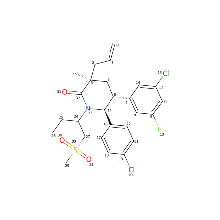 C=CC[C@@]1(C)C[C@H](c2cc(F)cc(Cl)c2)[C@@H](c2ccc(Cl)cc2)N(C(CC)CS(C)(=O)=O)C1=O